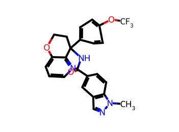 Cn1ncc2cc(C(=O)NC3(c4ccc(OC(F)(F)F)cc4)CCOc4cccnc43)ccc21